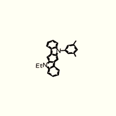 CCn1c2ccccc2c2cc3c(cc21)c1ccccc1n3-c1cc(C)cc(C)c1